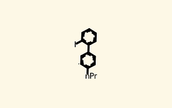 CCCc1[c]cc(-c2ccccc2I)cc1